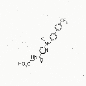 O=C(O)CCNC(=O)c1ccc(N(Cc2ccc(-c3ccc(C(F)(F)F)cc3)cc2)C2CC2)nc1